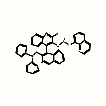 Cc1cc2ccccc2c(-c2c(OP(c3ccccc3)c3ccccc3)c(C)cc3ccccc23)c1OPOc1cccc2cccnc12